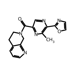 Cc1nc(C(=O)N2CCc3cccnc3C2)cnc1-c1ncco1